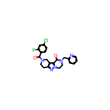 O=C(c1ccc(Cl)cc1F)N1CCc2nn3c(c2C1)C(=O)N(Cc1ccccn1)CC3